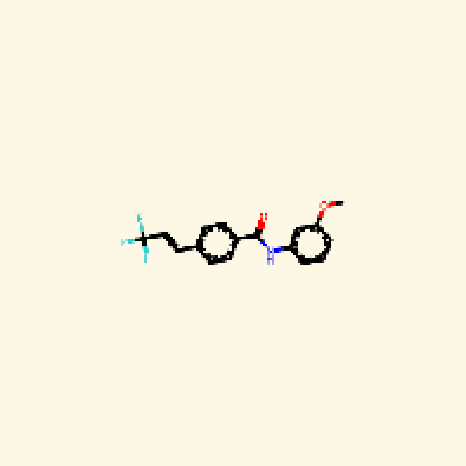 COc1cccc(NC(=O)c2ccc(/C=C/C(F)(F)F)cc2)c1